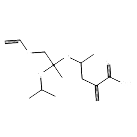 C=COCC(C)(OC(C)C)OC(C)CC(=C)C(=O)O